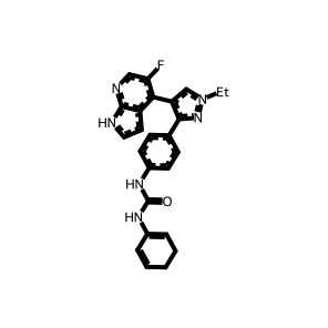 CCn1cc(-c2c(F)cnc3[nH]ccc23)c(-c2ccc(NC(=O)NC3=CCCC=C3)cc2)n1